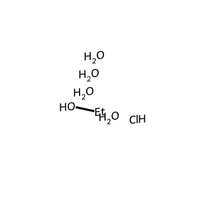 CCO.Cl.O.O.O.O